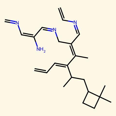 C=C/C=C(/C(C)=C(/C=N\C=C)C/N=C\C(N)=C/N=C)C(C)CC1CCC1(C)C